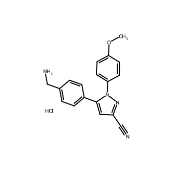 COc1ccc(-n2nc(C#N)cc2-c2ccc(CN)cc2)cc1.Cl